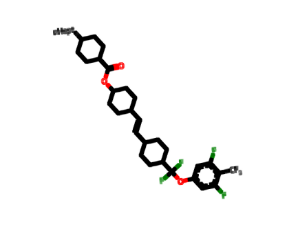 CCCCCCCC1CCC(C(=O)OC2CCC(/C=C/C3CCC(C(F)(F)Oc4cc(F)c(C(F)(F)F)c(F)c4)CC3)CC2)CC1